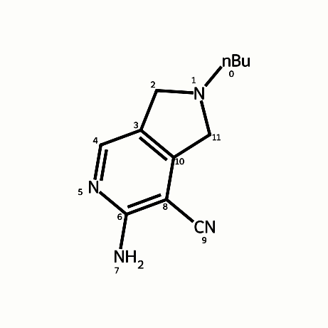 CCCCN1Cc2cnc(N)c(C#N)c2C1